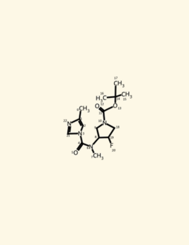 Cc1cn(C(=O)N(C)C2CN(C(=O)OC(C)(C)C)CC2F)cn1